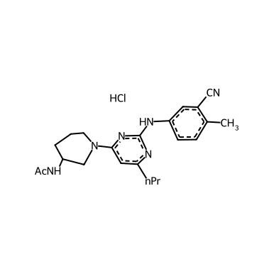 CCCc1cc(N2CCCC(NC(C)=O)C2)nc(Nc2ccc(C)c(C#N)c2)n1.Cl